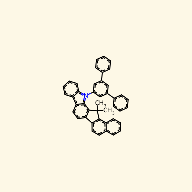 CC1(C)c2c(ccc3ccccc23)-c2ccc3c4ccccc4n(-c4cc(-c5ccccc5)cc(-c5ccccc5)c4)c3c21